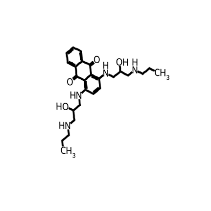 CCCNCC(O)CNc1ccc(NCC(O)CNCCC)c2c1C(=O)c1ccccc1C2=O